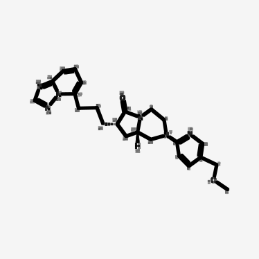 COCc1ccc(N2CCN3C(=O)[C@@H](CCCc4cccc5ncnn45)C[C@H]3C2)nc1